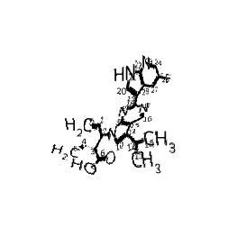 C=C[C@H]([C@@H](C=C)C(=O)O)n1cc(C(C)C)c2cnc(-c3c[nH]c4ncc(F)cc34)nc21